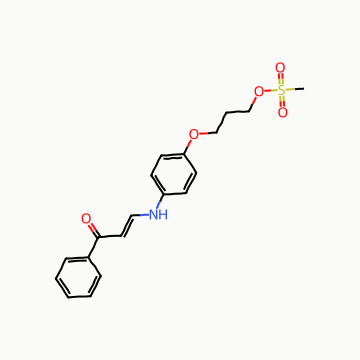 CS(=O)(=O)OCCCOc1ccc(NC=CC(=O)c2ccccc2)cc1